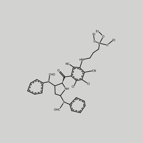 CCO[Si](CCCNc1c(C#N)c(Cl)c(Cl)c(C(=O)[C@H]2NC(N(C=O)c3ccccc3)CC2N(C=O)c2ccccc2)c1C#N)(OCC)OCC